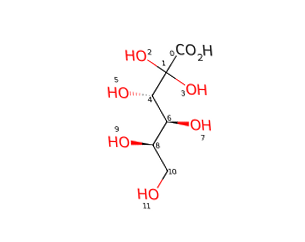 O=C(O)C(O)(O)[C@@H](O)[C@@H](O)[C@H](O)CO